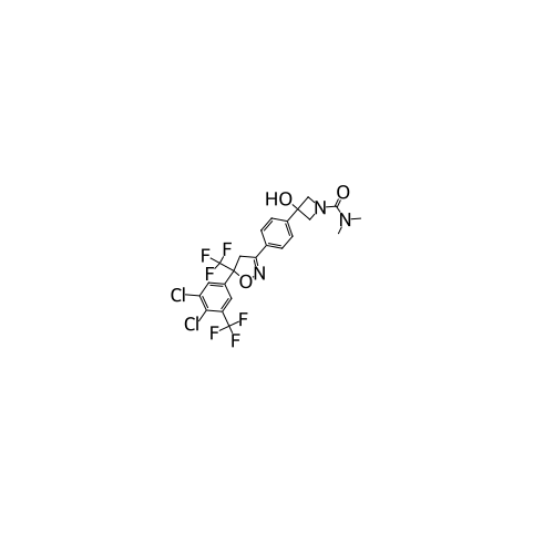 CN(C)C(=O)N1CC(O)(c2ccc(C3=NOC(c4cc(Cl)c(Cl)c(C(F)(F)F)c4)(C(F)(F)F)C3)cc2)C1